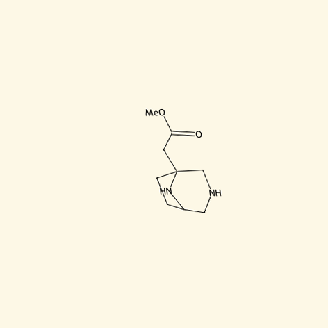 COC(=O)CC12CCC(CNC1)N2